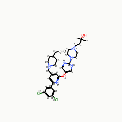 CC(C)(O)CCN1CCN(c2ncc(Oc3cc(CN4CCC(CC=O)CC4)cc(-c4cc(Cl)cc(Cl)c4)n3)cn2)CC1